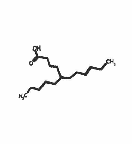 CCCCCCC(CCCCC)CCCC(=O)O